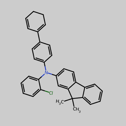 CC1(C)c2ccccc2-c2ccc(N(c3ccc(C4=CCCC=C4)cc3)c3ccccc3Cl)cc21